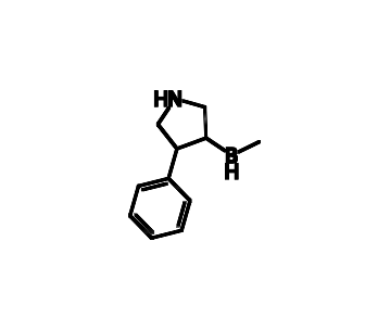 CBC1CNCC1c1ccccc1